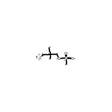 CC(C)(COS(C)(=O)=O)CC(F)(F)F